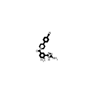 Cc1ccc(C(=O)N2CCC(c3ccc(C#N)cc3)CC2)cc1-c1nnc(N)[nH]1